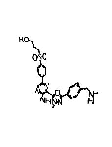 CNCc1ccc(-c2nnc(-c3nc(-c4ccc(S(=O)(=O)CCCO)cc4)cnc3N)o2)cc1